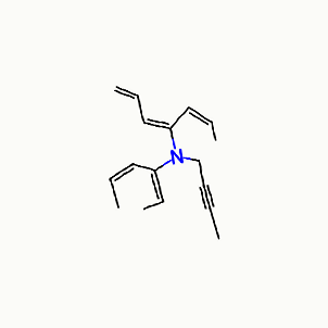 C=C/C=C(\C=C/C)N(CC#CC)C(/C=C\C)=C/C